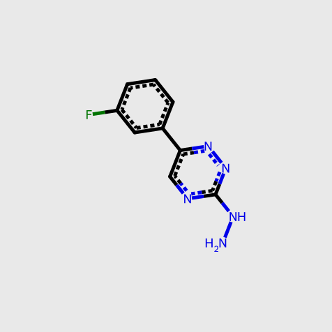 NNc1ncc(-c2cccc(F)c2)nn1